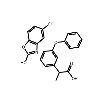 CC(C(=O)O)c1cccc(Oc2ccccc2)c1.Oc1nc2cc(Cl)ccc2o1